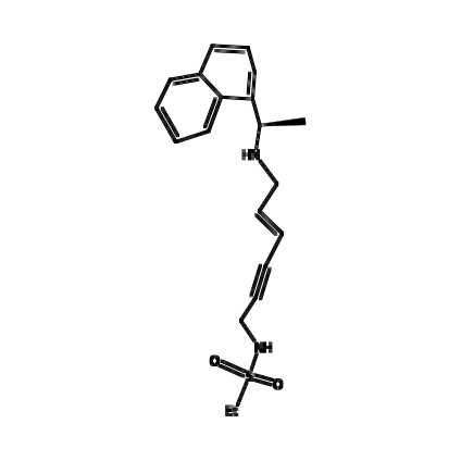 CCS(=O)(=O)NCC#C/C=C/CN[C@H](C)c1cccc2ccccc12